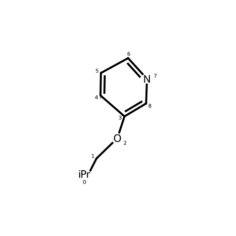 CC(C)COc1[c]ccnc1